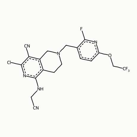 N#CCNc1nc(Cl)c(C#N)c2c1CCN(Cc1ccc(OCC(F)(F)F)nc1F)C2